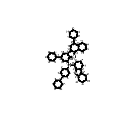 c1ccc(-c2ccc(N(c3cc(-c4ccccc4)cc4c3oc3c5ccccc5c(-c5ccccc5)cc43)c3cccc4c3sc3ccccc34)cc2)cc1